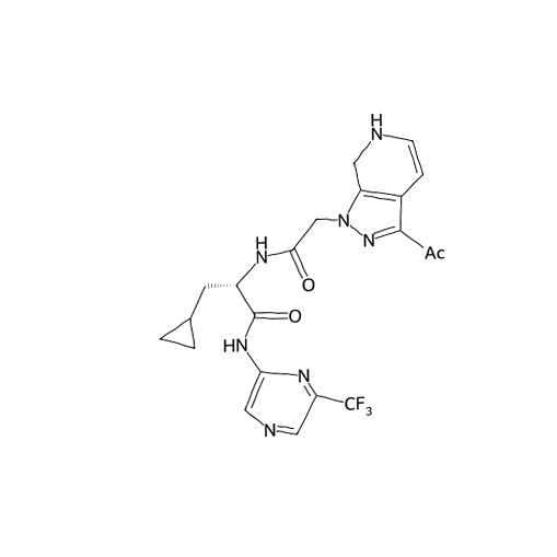 CC(=O)c1nn(CC(=O)N[C@@H](CC2CC2)C(=O)Nc2cncc(C(F)(F)F)n2)c2c1C=CNC2